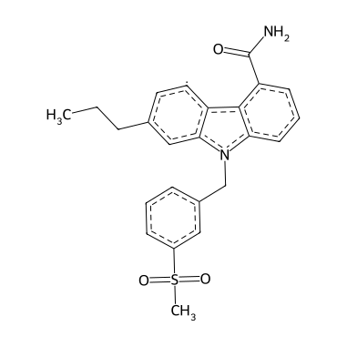 CCCc1c[c]c2c3c(C(N)=O)cccc3n(Cc3cccc(S(C)(=O)=O)c3)c2c1